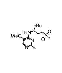 CCCC[C@@H](CCS(C)(=O)=O)Nc1nc(C)ncc1OC